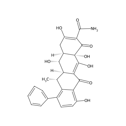 C[C@H]1c2c(-c3ccccc3)ccc(O)c2C(=O)C2=C(O)[C@]3(O)C(=O)C(C(N)=O)=C(O)C[C@@H]3[C@@H](O)[C@@H]21